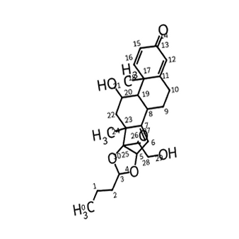 CCCC1OC2C=C3C4CCC5=CC(=O)C=CC5(C)C4C(O)CC3(C)C2(C(=O)CO)O1